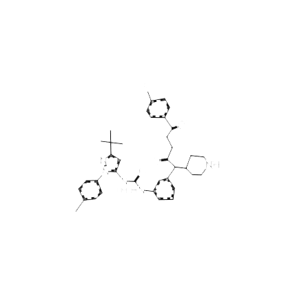 Cc1ccc(-n2nc(C(C)(C)C)cc2NC(=O)Nc2cccc(C(C(=O)CCC(=O)c3ccc(F)cc3)C3CCNCC3)c2)cc1